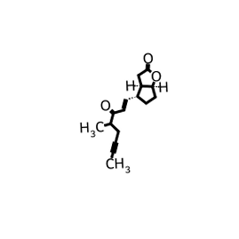 CC#CCC(C)C(=O)/C=C/[C@H]1CC[C@@H]2OC(=O)C[C@@H]21